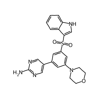 Nc1ncc(-c2cc(N3CCOCC3)cc(S(=O)(=O)c3c[nH]c4ccccc34)c2)cn1